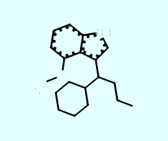 CCCC(c1c[nH]c2cccc(OC)c12)C1CCCCC1.N